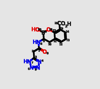 O=C(Cc1nnn[nH]1)NC1Cc2cccc(C(=O)O)c2OB1O